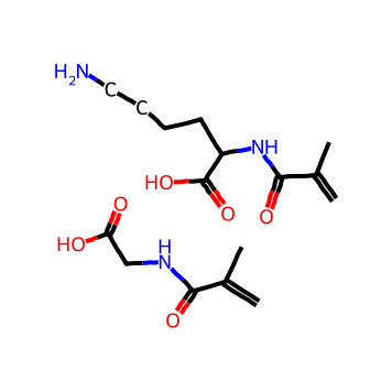 C=C(C)C(=O)NC(CCCCN)C(=O)O.C=C(C)C(=O)NCC(=O)O